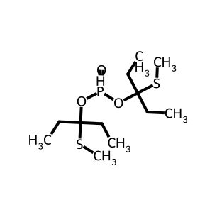 CCC(CC)(O[PH](=O)OC(CC)(CC)SC)SC